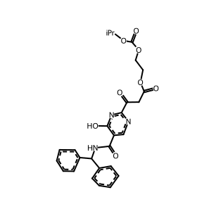 CC(C)OC(=O)OCCOC(=O)CC(=O)c1ncc(C(=O)NC(c2ccccc2)c2ccccc2)c(O)n1